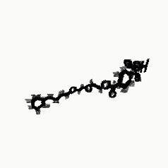 O=C(OCCOCCOCCCCC1CCCCC1)c1ccc(S(=O)(=O)O)cc1